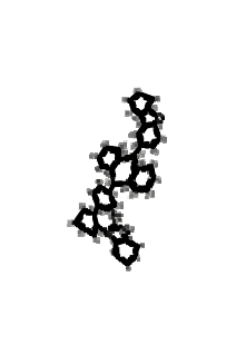 CCc1nc2ccccc2n1-c1ccccc1-c1ccc(-c2c3ccccc3c(-c3ccc4oc5ccccc5c4c3)c3ccccc23)cc1